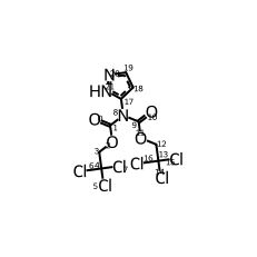 O=C(OCC(Cl)(Cl)Cl)N(C(=O)OCC(Cl)(Cl)Cl)c1ccn[nH]1